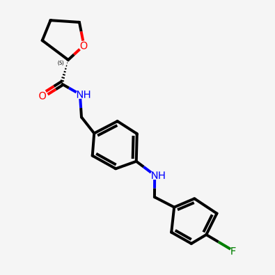 O=C(NCc1ccc(NCc2ccc(F)cc2)cc1)[C@@H]1CCCO1